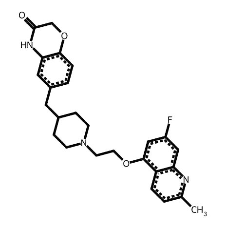 Cc1ccc2c(OCCN3CCC(Cc4ccc5c(c4)NC(=O)CO5)CC3)cc(F)cc2n1